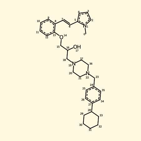 Cn1cccc1/C=C/c1ccccc1OCC(O)CN1CCN(Cc2ccc(C3CCCCC3)cc2)CC1